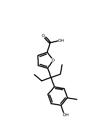 CCC(CC)(c1ccc(O)c(C)c1)c1ccc(C(=O)O)o1